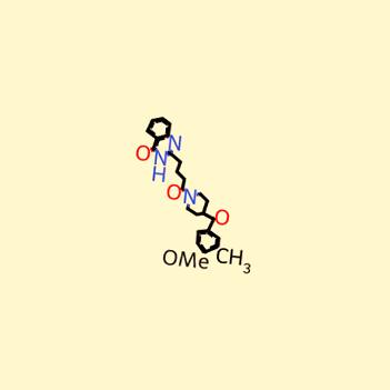 COc1ccc(C(=O)C2CCN(C(=O)CCCc3nc4ccccc4c(=O)[nH]3)CC2)cc1C